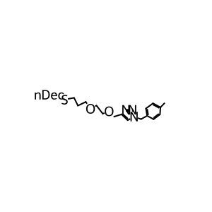 CCCCCCCCCCSCCCOCCOCc1cn(Cc2ccc(C)cc2)nn1